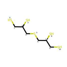 SCC(S)CSC[C@@H](S)CS